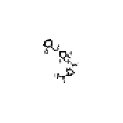 CNC(=O)c1ccn(C(=O)N2C[C@H]3CC(N(C)Cc4ccccc4Cl)C[C@H]3C2)n1